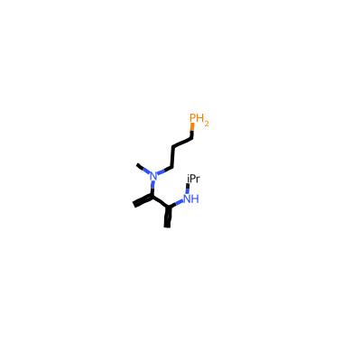 C=C(NC(C)C)C(=C)N(C)CCCP